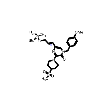 COc1ccc(Cn2cc(/C=C/CO[Si](C)(C)C(C)(C)C)nc(N3CCC(S(C)(=O)=O)CC3)c2=O)cc1